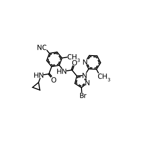 Cc1cccnc1-n1nc(Br)cc1C(=O)Nc1c(C)cc(C#N)cc1C(=O)NC1CC1